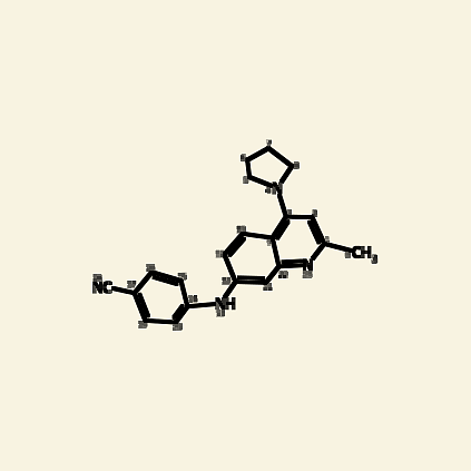 Cc1cc(N2CCCC2)c2ccc(Nc3ccc(C#N)cc3)cc2n1